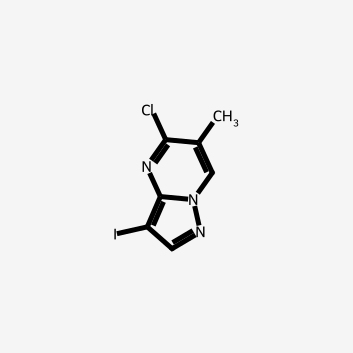 Cc1cn2ncc(I)c2nc1Cl